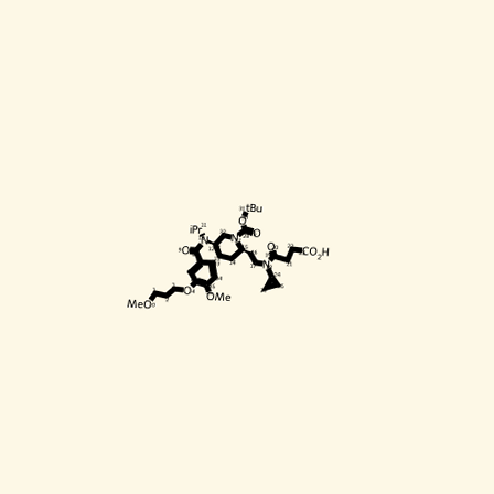 COCCCOc1cc(C(=O)N(C(C)C)[C@@H]2CC[C@H](CCN(C(=O)CCC(=O)O)C3CC3)N(C(=O)OC(C)(C)C)C2)ccc1OC